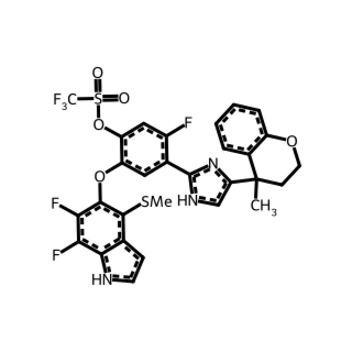 CSc1c(Oc2cc(-c3nc(C4(C)CCOc5ccccc54)c[nH]3)c(F)cc2OS(=O)(=O)C(F)(F)F)c(F)c(F)c2[nH]ccc12